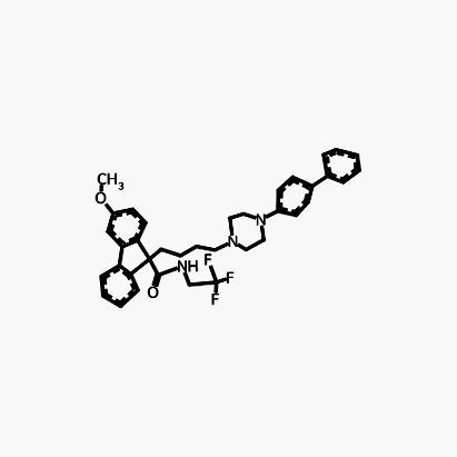 COc1ccc2c(c1)-c1ccccc1C2(CCCCN1CCN(c2ccc(-c3ccccc3)cc2)CC1)C(=O)NCC(F)(F)F